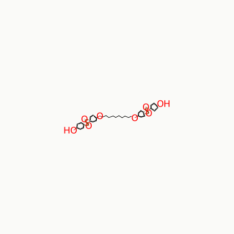 O=S(=O)(c1ccc(O)cc1)c1ccc(OCCCCCCCCCCOc2ccc(S(=O)(=O)c3ccc(O)cc3)cc2)cc1